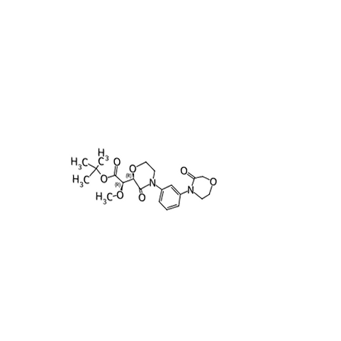 CO[C@@H](C(=O)OC(C)(C)C)[C@H]1OCCN(c2cccc(N3CCOCC3=O)c2)C1=O